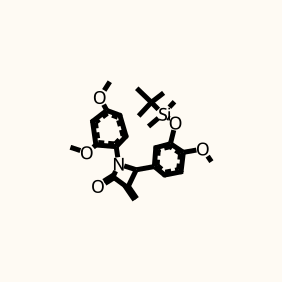 C=C1C(=O)N(c2ccc(OC)cc2OC)C1c1ccc(OC)c(O[Si](C)(C)C(C)(C)C)c1